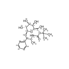 CC(NC(=O)OC(C)(C)C)C(O[C@@H]1O[C@H](CO)[C@H](O)[C@H](O)[C@H]1O)c1ccccc1